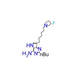 CCCCc1nc(N)c2[nH]cc(CCCCCCN3CC[C@H](F)C3)c2n1